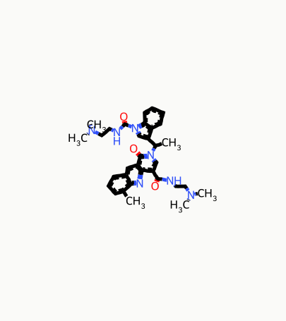 Cc1cccc2cc3c(=O)n(C(C)c4cn(C(=O)NCCN(C)C)c5ccccc45)cc(C(=O)NCCN(C)C)c3nc12